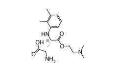 Cc1cccc(N[C@@H](C)C(=O)OCCN(C)C)c1C.NCC(=O)O